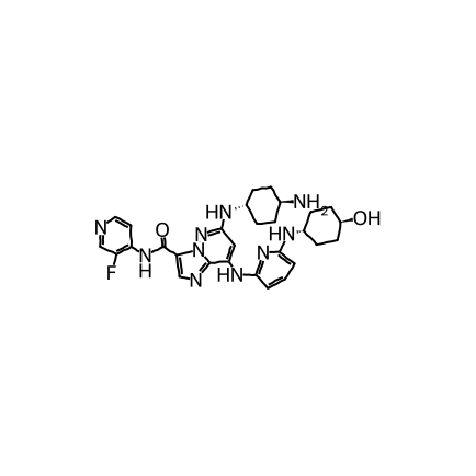 N[C@H]1CC[C@H](Nc2cc(Nc3cccc(N[C@H]4CC[C@H](O)CC4)n3)c3ncc(C(=O)Nc4ccncc4F)n3n2)CC1